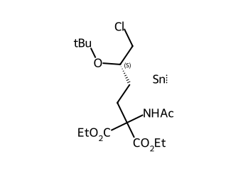 CCOC(=O)C(CC[C@@H](CCl)OC(C)(C)C)(NC(C)=O)C(=O)OCC.[Sn]